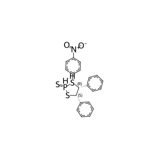 O=[N+]([O-])c1ccc([SH]2[C@H](c3ccccc3)[C@H](c3ccccc3)S[PH]2=S)cc1